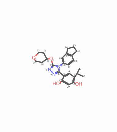 CC(C)c1cc(-c2nnc(OC3CCOCC3)n2-c2ccc3c(c2)CCC3)c(O)cc1O